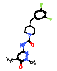 Cc1cc(NC(=O)N2CCC(Cc3cc(F)cc(F)c3)CC2)nn(C)c1=O